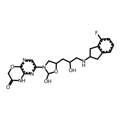 O=C1COc2ncc(N3CC(CC(O)CNC4Cc5cccc(F)c5C4)OC3O)nc2N1